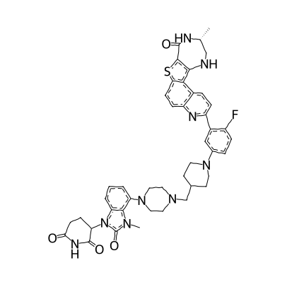 C[C@@H]1CNc2c(sc3ccc4nc(-c5cc(N6CCC(CN7CCN(c8cccc9c8n(C)c(=O)n9C8CCC(=O)NC8=O)CC7)CC6)ccc5F)ccc4c23)C(=O)N1